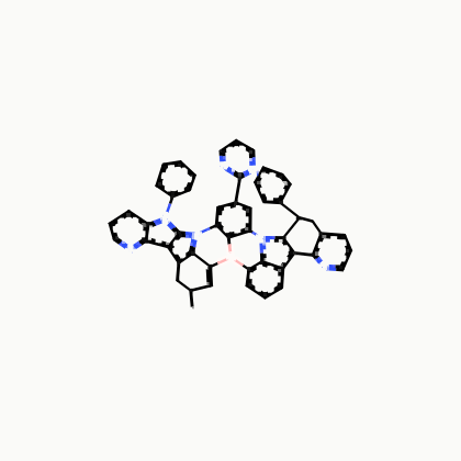 CC1C=C2B3c4c(cc(-c5ncccn5)cc4-n4c2c(c2c5ncccc5n(-c5ccccc5)c24)C1)-n1c2c(c4cccc3c41)-c1ncccc1CC2c1ccccc1